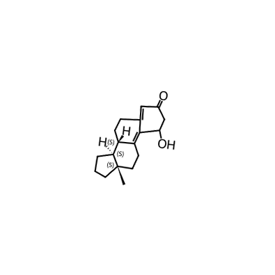 C[C@@]12CCC[C@H]1[C@@H]1CCC3=CC(=O)CC(O)C3=C1CC2